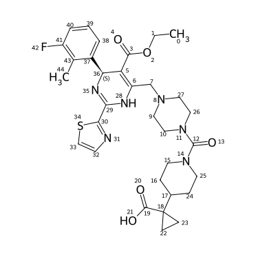 CCOC(=O)C1=C(CN2CCN(C(=O)N3CCC(C4(C(=O)O)CC4)CC3)CC2)NC(c2nccs2)=N[C@H]1c1cccc(F)c1C